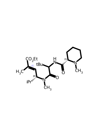 CCOC(=O)/C(C)=C/[C@@H](C(C)C)N(C)C(=O)C(NC(=O)[C@@H]1CCCCN1C)C(C)(C)C